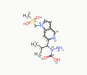 C[C](C)C(c1cc2c(ccn2CS(C)(=O)=O)cn1)N(N)C(=O)O